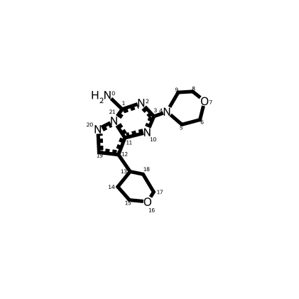 Nc1nc(N2CCOCC2)nc2c(C3CCOCC3)cnn12